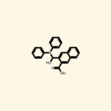 O=C(O)c1cc2ccccc2cc1C(O)N(c1ccccc1)c1ccccc1